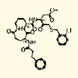 O=C(O)C[C@H](NC(=O)[C@@H]1CCCN2C(=O)CC[C@H](NC(=O)CCc3ccccc3)C(=O)N12)C(=O)CSCc1ccccc1Cl